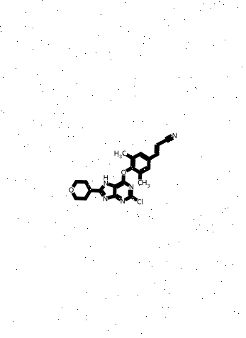 Cc1cc(/C=C/C#N)cc(C)c1Oc1nc(Cl)nc2nc(C3CCOCC3)[nH]c12